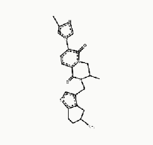 Cc1cn(-c2ccc3n(c2=O)CC(C)N(Cc2csc4c2CC(C(F)(F)F)CC4)C3=O)cn1